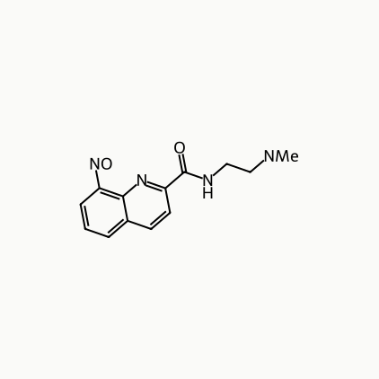 CNCCNC(=O)c1ccc2cccc(N=O)c2n1